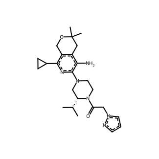 CC(C)[C@@H]1CN(c2nc(C3CC3)c3c(c2N)CC(C)(C)OC3)CCN1C(=O)Cn1cccn1